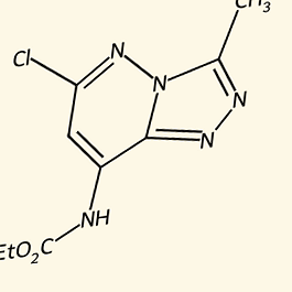 CCOC(=O)Nc1cc(Cl)nn2c(C)nnc12